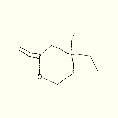 C=C1CC(C)(CC)CCO1